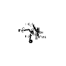 CC(C)OC(=O)CCC/C=C\C[C@@H]1[C@@H](CC[C@@H](O)CCc2ccccc2)[C@H](O)C[C@@H]1O.CCCCC[C@H](O)/C=C/[C@@H]1[C@H]2C/C(=C/CCCC(=O)O)O[C@H]2C[C@H]1O